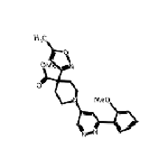 COC(=O)C1(c2cc(C)on2)CCN(c2cnnc(-c3ccccc3OC)c2)CC1